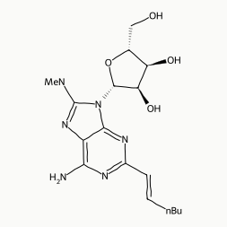 CCCCC=Cc1nc(N)c2nc(NC)n([C@@H]3O[C@H](CO)[C@@H](O)[C@H]3O)c2n1